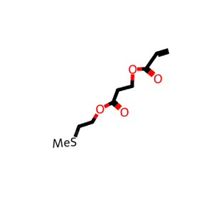 C=CC(=O)OCCC(=O)OCCSC